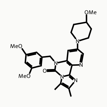 COc1cc(Cn2c(=O)n3c(C)c(C)nc3c3ncc(N4CCC(OC)CC4)cc32)cc(OC)c1